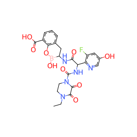 CCN1CCN(C(=O)NC(C(=O)NC2Cc3cccc(C(=O)O)c3OB2O)c2ncc(O)cc2F)C(=O)C1=O